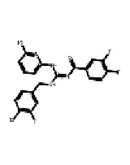 O=C(/N=C(/NCc1ccc(Cl)c(F)c1)Nc1cccc(O)n1)c1ccc(F)c(F)c1